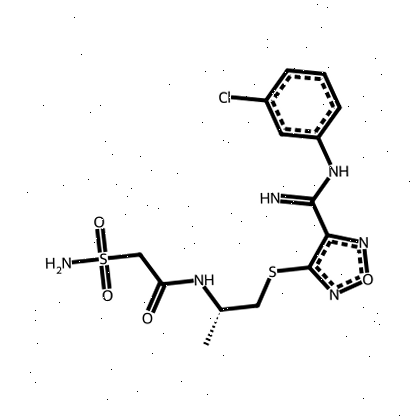 C[C@@H](CSc1nonc1C(=N)Nc1cccc(Cl)c1)NC(=O)CS(N)(=O)=O